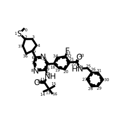 CSC1CCC(c2cnc(NC(=O)C(C)(C)C)c(-c3ccc(C(=O)NCc4ccccc4)c(F)c3)n2)CC1